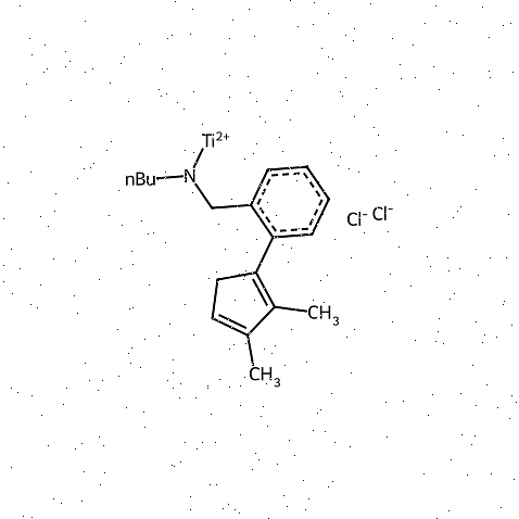 CCCC[N]([Ti+2])Cc1ccccc1C1=C(C)C(C)=CC1.[Cl-].[Cl-]